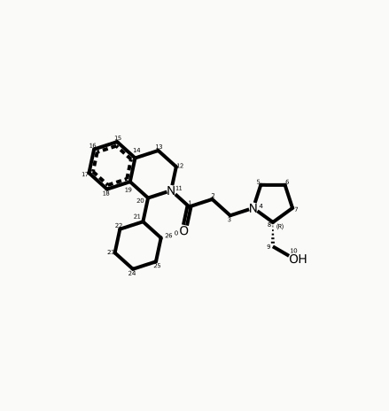 O=C(CCN1CCC[C@@H]1CO)N1CCc2ccccc2C1C1CCCCC1